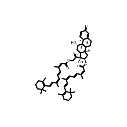 CC(C=CC1=C(C)CCCC1(C)C)=CC=CC(C)=CC(=O)OCC(=O)[C@@]1(O)[C@H](OC(=O)C=C(C)C=CC=C(C)C=CC2=C(C)CCCC2(C)C)C[C@H]2[C@@H]3CCC4=CC(=O)C=C[C@]4(C)[C@@]3(F)[C@@H](O)C[C@@]21C